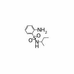 CCC(C)NS(=O)(=O)c1ccccc1N